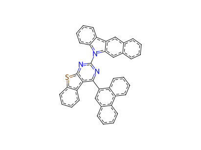 c1ccc2cc3c(cc2c1)c1ccccc1n3-c1nc(-c2cc3ccccc3c3ccccc23)c2c(n1)sc1ccccc12